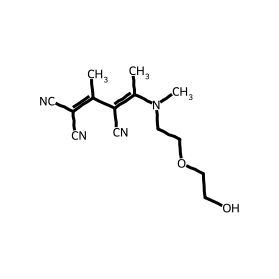 CC(=C(C#N)C#N)/C(C#N)=C(\C)N(C)CCOCCO